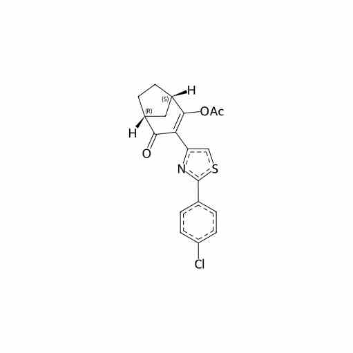 CC(=O)OC1=C(c2csc(-c3ccc(Cl)cc3)n2)C(=O)[C@@H]2CC[C@H]1C2